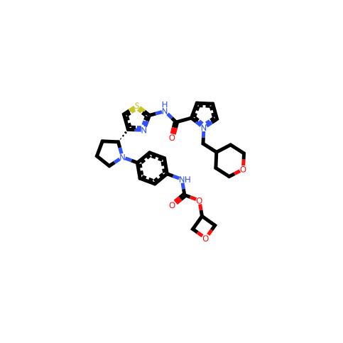 O=C(Nc1ccc(N2CCC[C@@H]2c2csc(NC(=O)c3cccn3CC3CCOCC3)n2)cc1)OC1COC1